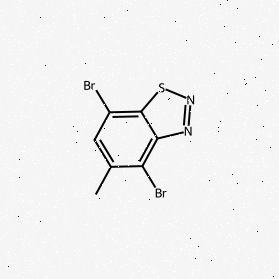 Cc1cc(Br)c2snnc2c1Br